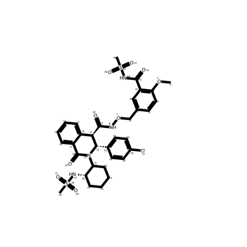 COc1ccc(CONC(=O)[C@@H]2c3ccccc3C(=O)N(C3CCCC[C@@H]3NS(C)(=O)=O)[C@H]2c2ccc(Cl)cc2)cc1C(=O)NS(C)(=O)=O